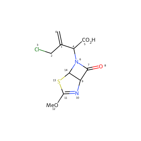 C=C(CCl)C(C(=O)O)N1C(=O)C2N=C(OC)SC21